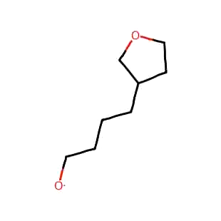 [O]CCCCC1CCOC1